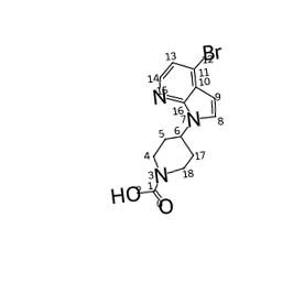 O=C(O)N1CCC(n2ccc3c(Br)ccnc32)CC1